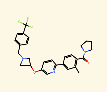 Cc1cc(-c2ccc(OC3CN(Cc4ccc(C(F)(F)F)cc4)C3)cn2)ccc1C(=O)N1CCCC1